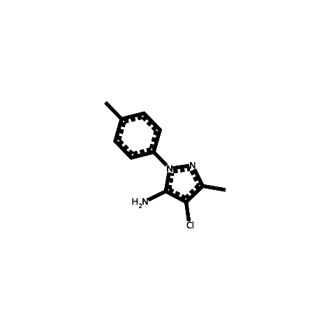 Cc1ccc(-n2nc(C)c(Cl)c2N)cc1